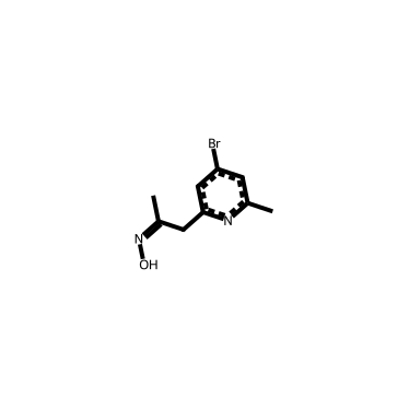 C/C(Cc1cc(Br)cc(C)n1)=N/O